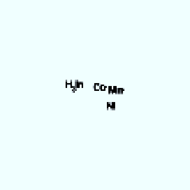 [Co].[InH3].[Mn].[Ni]